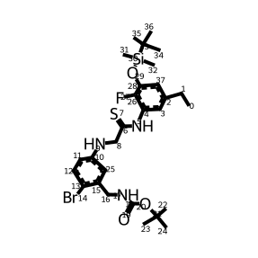 CCc1cc(NC(=S)CNc2ccc(Br)c(CNC(=O)OC(C)(C)C)c2)c(F)c(O[Si](C)(C)C(C)(C)C)c1